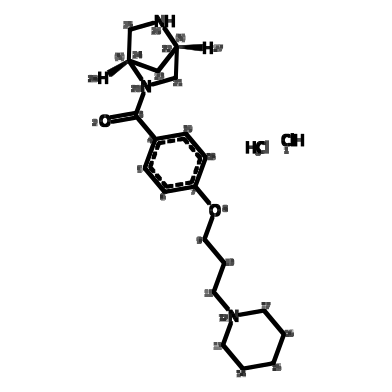 Cl.Cl.O=C(c1ccc(OCCCN2CCCCC2)cc1)N1C[C@@H]2C[C@H]1CN2